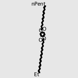 CCC=CCC=CCC=CCC=CCC=CCCCC(=O)Oc1ccc(OC(=O)CCCCC=CCC=CCC=CCCCCC)cc1